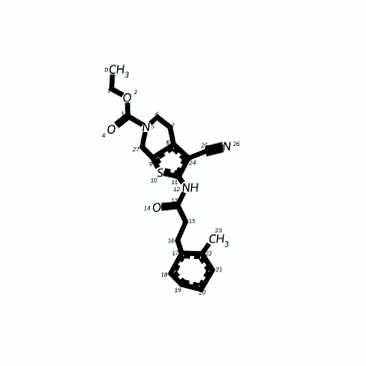 CCOC(=O)N1CCc2c(sc(NC(=O)CCc3ccccc3C)c2C#N)C1